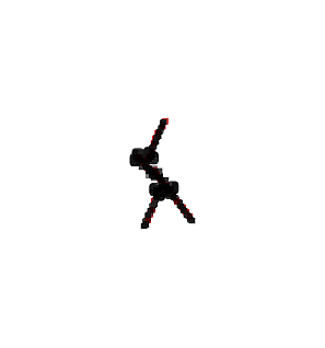 CCCCCCCCCCCCCOC(=O)CCN(CCCN1CCN(CCCN(CCC(=O)OCCCCCCCCCCCCC)CCC(=O)OCCCCCCCCCCCCC)CC1)CCC(=O)OC